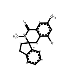 Cc1cc(Br)c2c(c1)C(=O)N(C)C1(CCc3ccccc31)C2